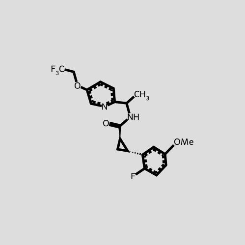 COc1ccc(F)c([C@@H]2C[C@H]2C(=O)NC(C)c2ccc(OCC(F)(F)F)cn2)c1